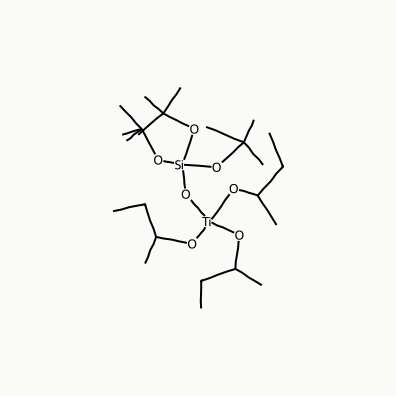 CCC(C)[O][Ti]([O]C(C)CC)([O]C(C)CC)[O][Si](OC(C)(C)C)(OC(C)(C)C)OC(C)(C)C